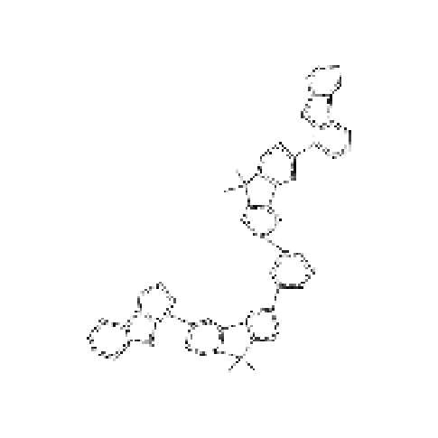 CC1(C)c2ccc(-c3cncc(-c4ccc5c(c4)-c4cc(-c6cccc7c6sc6ccccc67)ccc4C5(C)C)c3)cc2-c2cc(-c3cccc4c3sc3ccccc34)ccc21